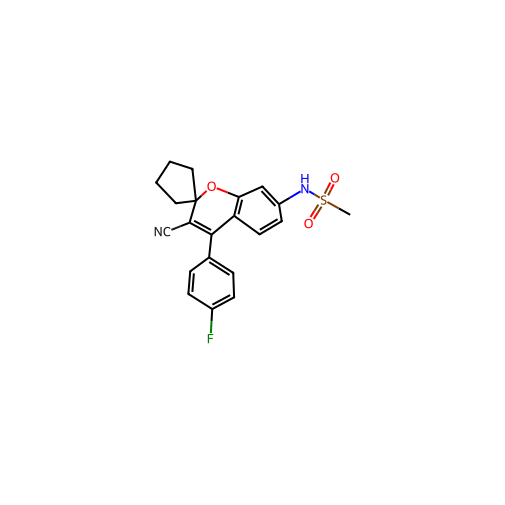 CS(=O)(=O)Nc1ccc2c(c1)OC1(CCCC1)C(C#N)=C2c1ccc(F)cc1